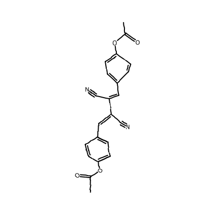 CC(=O)Oc1ccc(/C=C(C#N)/C(C#N)=C/c2ccc(OC(C)=O)cc2)cc1